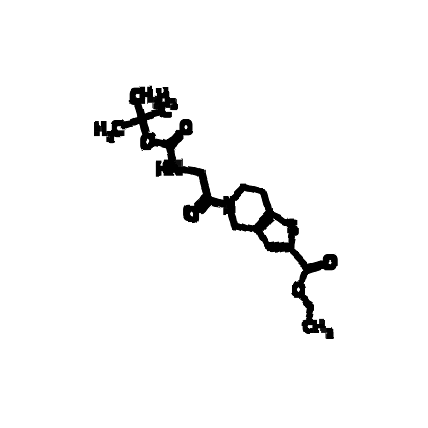 CCOC(=O)c1cc2c(s1)CCN(C(=O)CNC(=O)OC(C)(C)C)C2